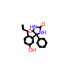 C=CCc1ccc(O)cc1C1(c2ccccc2)NC(=O)NC1=O